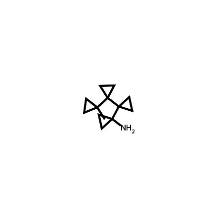 CC1(C2(C3(C4(N)CC4)CC3)CC2)CC1